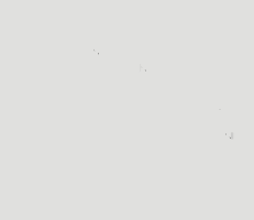 NC(=O)CCn1cnc(-c2ccccc2)c1C1CCOC1